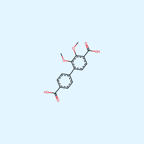 COc1c(C(=O)O)ccc(-c2ccc(C(=O)O)cc2)c1OC